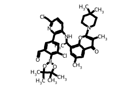 Cc1cc([C@@H](C)Nc2ccc(Cl)nc2-c2cc(Cl)c(B3OC(C)(C)C(C)(C)O3)c(C=O)c2)c2oc(N3CCC(C)(C)CC3)c(C)c(=O)c2c1